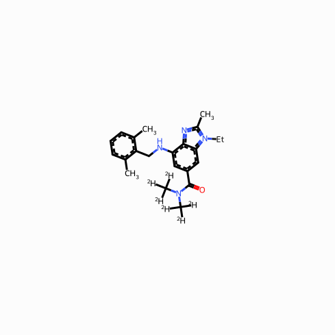 [2H]C([2H])([2H])N(C(=O)c1cc(NCc2c(C)cccc2C)c2nc(C)n(CC)c2c1)C([2H])([2H])[2H]